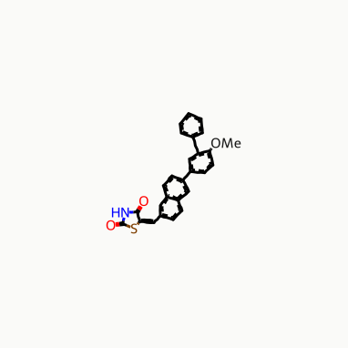 COc1ccc(-c2ccc3cc(C=C4SC(=O)NC4=O)ccc3c2)cc1-c1ccccc1